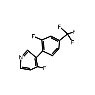 Fc1cc(C(F)(F)F)ccc1-c1cnccc1F